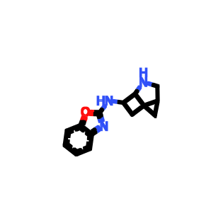 c1ccc2oc(NC3CC45CC4CNC35)nc2c1